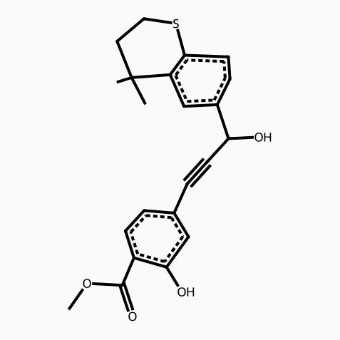 COC(=O)c1ccc(C#CC(O)c2ccc3c(c2)C(C)(C)CCS3)cc1O